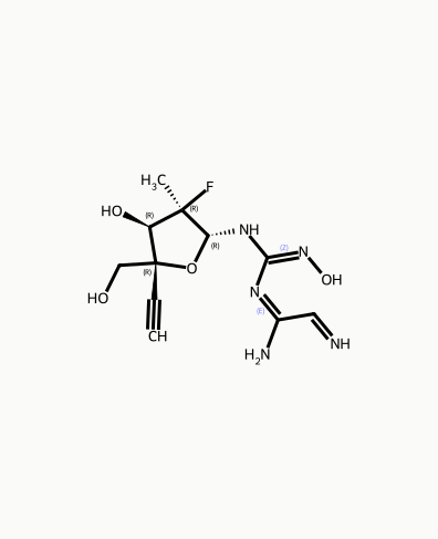 C#C[C@]1(CO)O[C@@H](NC(=N/O)/N=C(/N)C=N)[C@](C)(F)[C@@H]1O